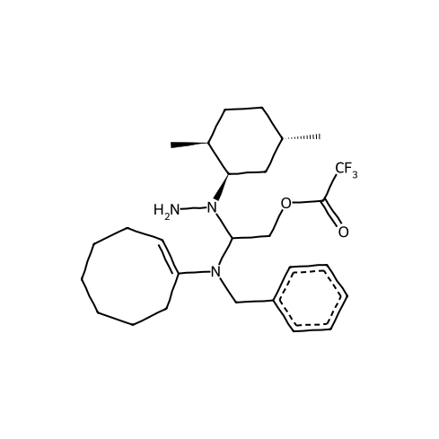 C[C@H]1CC[C@H](C)[C@H](N(N)C(COC(=O)C(F)(F)F)N(Cc2ccccc2)/C2=C/CCCCCC2)C1